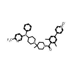 Cc1cc(-c2cc[n+]([O-])cc2)cc(C)c1C(=O)N1CCC(C)(N2CCC(N(c3ccccc3)c3ccc(C(F)(F)F)nc3)CC2)CC1